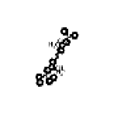 CC1(C)c2cc(/C=C/c3ccc4c(c3)C(C)(C)c3cc(N(c5cccc6ccccc56)c5cccc6ccccc56)ccc3-4)ccc2-c2ccc(N(c3ccccc3)c3ccccc3)cc21